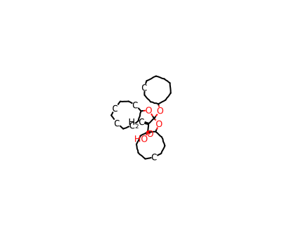 C=C(C(=O)O)C(OC1CCCCCCCCC1)(OC1CCCCCCCCC1)OC1CCCCCCCCC1